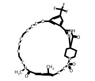 Cc1cc2ccc1CCS(=O)(=O)N1CCC3(CC1)N=C(NC3=O)c1cc(cc(C(F)(F)F)c1)OCCCCCCCCCN(C)C2=O